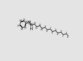 CCCCCCCCCCCCCCN[N]c1ccccc1